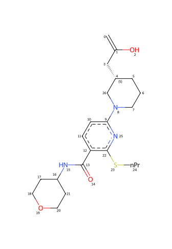 C=C(O)C[C@@H]1CCCN(c2ccc(C(=O)NC3CCOCC3)c(SCCC)n2)C1